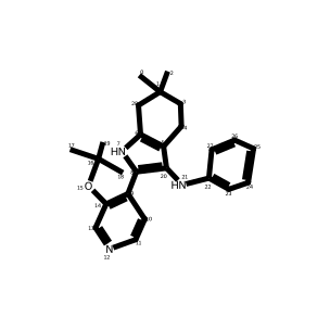 CC1(C)CCc2c([nH]c(-c3ccncc3OC(C)(C)C)c2Nc2ccccc2)C1